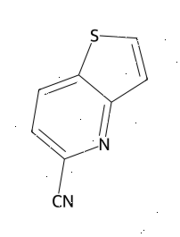 N#Cc1ccc2sccc2n1